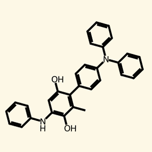 Cc1c(O)c(Nc2ccccc2)cc(O)c1-c1ccc(N(c2ccccc2)c2ccccc2)cc1